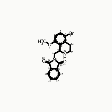 COc1ccc(Br)c2c1C(CN1C(=O)c3ccccc3C1=O)NCC2